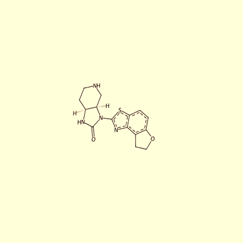 O=C1N[C@H]2CCNC[C@H]2N1c1nc2c3c(ccc2s1)OCC3